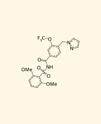 COc1cccc(OC)c1S(=O)(=O)NC(=O)c1ccc(Cn2cccn2)c(OC(F)(F)F)c1